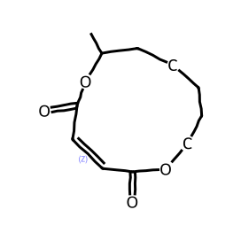 CC1CCCCCOC(=O)/C=C\C(=O)O1